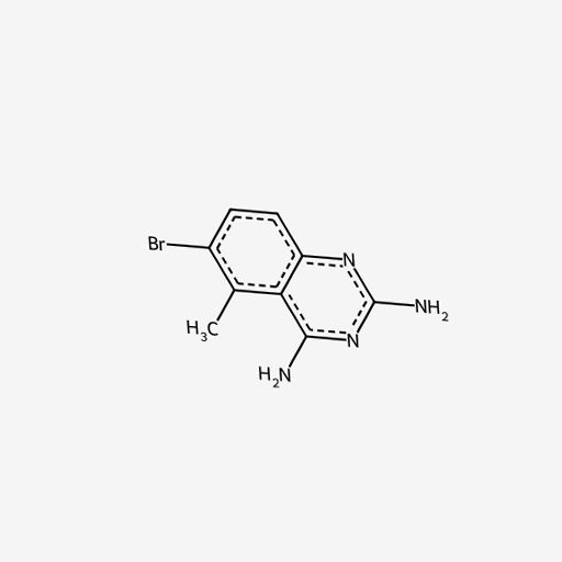 Cc1c(Br)ccc2nc(N)nc(N)c12